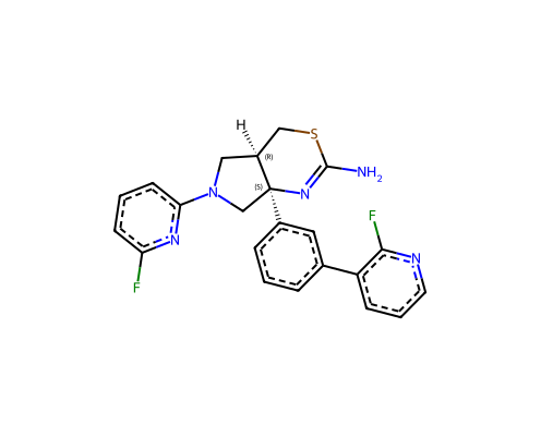 NC1=N[C@@]2(c3cccc(-c4cccnc4F)c3)CN(c3cccc(F)n3)C[C@H]2CS1